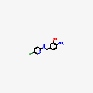 Nc1ccc(CNc2ccc(Br)cn2)cc1O